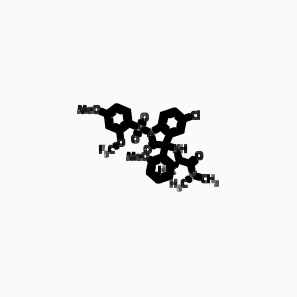 COc1ccc(S(=O)(=O)N2C(=O)C(N[C@H](C)C(=O)N(C)C)(c3ccccc3OC)c3cc(Cl)ccc32)c(OC(F)(F)F)c1